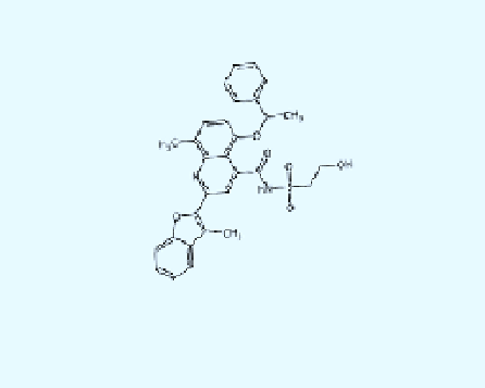 Cc1c(-c2cc(C(=O)NS(=O)(=O)CCO)c3c(OC(C)c4ccccc4)ccc(C)c3n2)oc2ccccc12